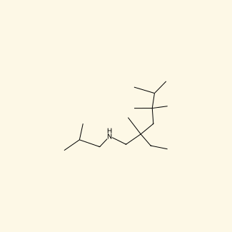 CCC(C)(CNCC(C)C)CC(C)(C)C(C)C